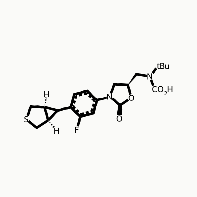 CC(C)(C)N(C[C@@H]1CN(c2ccc(C3[C@H]4CSC[C@@H]34)c(F)c2)C(=O)O1)C(=O)O